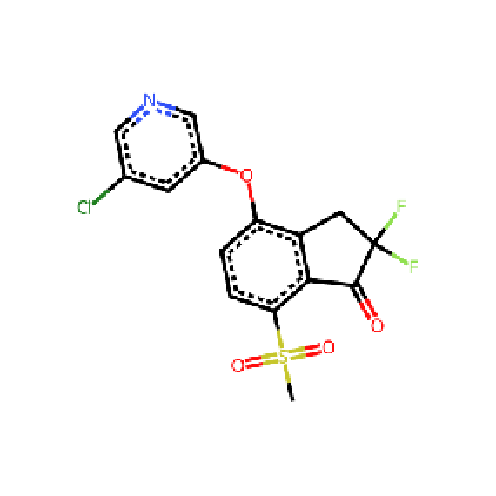 CS(=O)(=O)c1ccc(Oc2cncc(Cl)c2)c2c1C(=O)C(F)(F)C2